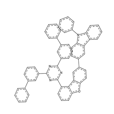 c1ccc(-c2cccc(-c3nc(-c4cccc(-c5ccccc5)c4)nc(-c4cccc5oc6ccc(-c7ccc8c(c7)c7ccccc7n8-c7ccccc7)cc6c45)n3)c2)cc1